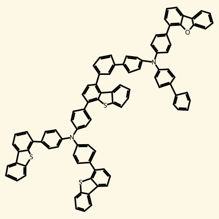 c1ccc(-c2ccc(N(c3ccc(-c4cccc(-c5ccc(-c6ccc(N(c7ccc(-c8cccc9c8sc8ccccc89)cc7)c7ccc(-c8cccc9c8sc8ccccc89)cc7)cc6)c6sc7ccccc7c56)c4)cc3)c3ccc(-c4cccc5c4oc4ccccc45)cc3)cc2)cc1